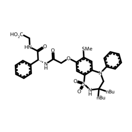 CCCCC1(CCCC)CN(c2ccccc2)c2cc(SC)c(OCC(=O)N[C@@H](C(=O)NCC(=O)O)c3ccccc3)cc2S(=O)(=O)N1